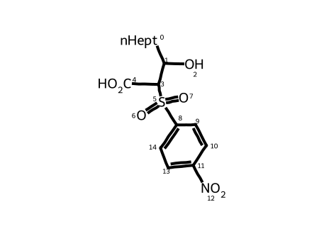 CCCCCCCC(O)C(C(=O)O)S(=O)(=O)c1ccc([N+](=O)[O-])cc1